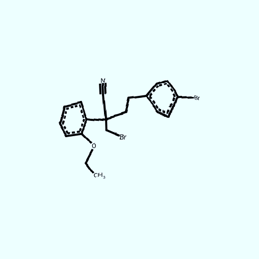 CCOc1ccccc1C(C#N)(CBr)CCc1ccc(Br)cc1